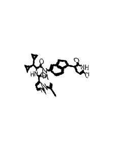 CC(C)n1nccc1C(=O)N[C@H](C(=O)Nc1ccc2c(c1)CCC2c1ccc(Cl)[nH]c1=O)C(C1CC1)C1CC1